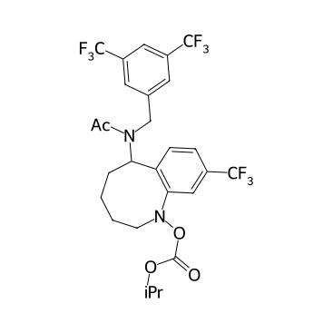 CC(=O)N(Cc1cc(C(F)(F)F)cc(C(F)(F)F)c1)C1CCCCN(OC(=O)OC(C)C)c2cc(C(F)(F)F)ccc21